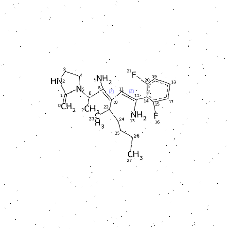 C=C1NCCN1C(C)/C(N)=C(/C=C(\N)c1c(F)cccc1F)C(C)CCCC